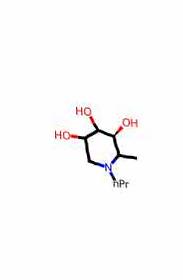 CCCN1CC(O)C(O)[C@@H](O)C1C